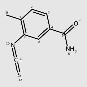 Cc1ccc(C(N)=O)cc1N=C=S